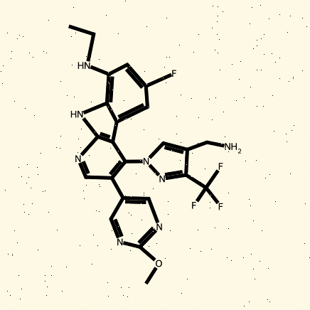 CCNc1cc(F)cc2c1[nH]c1ncc(-c3cnc(OC)nc3)c(-n3cc(CN)c(C(F)(F)F)n3)c12